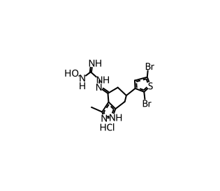 Cc1n[nH]c2c1C(=NNC(=N)NO)CC(c1cc(Br)sc1Br)C2.Cl